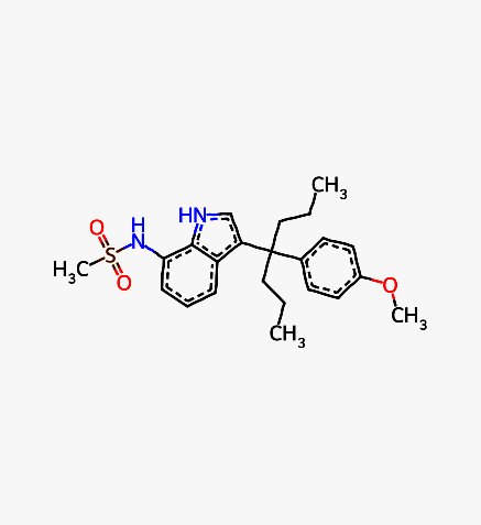 CCCC(CCC)(c1ccc(OC)cc1)c1c[nH]c2c(NS(C)(=O)=O)cccc12